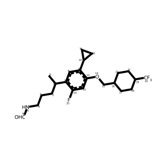 CC(CCCNC=O)c1cc(C2CC2)c(OCC2CCC(C(F)(F)F)CC2)cc1F